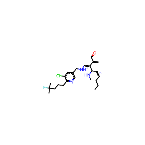 C=C(C=O)/C(=C/NCc1cnc(CCCC(C)(C)F)c(Cl)c1)C(/C=C\CCC)NC